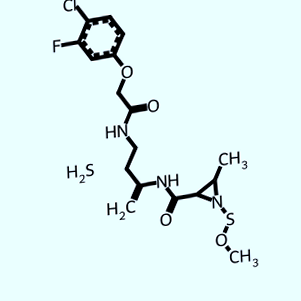 C=C(CCNC(=O)COc1ccc(Cl)c(F)c1)NC(=O)C1C(C)N1SOC.S